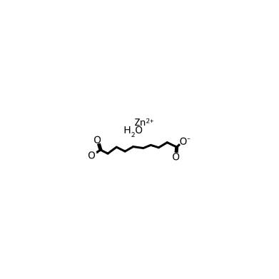 O.O=C([O-])CCCCCCCCC(=O)[O-].[Zn+2]